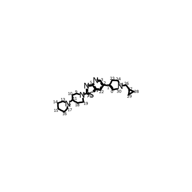 C1=C(c2cnc3nc(N4CCC(N5CCCCC5)CC4)sc3c2)CCN(CC2CC2)C1